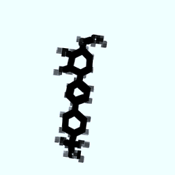 COC1CCC(c2ccc(C3CCC(C(C)(F)F)CC3)cc2)C(F)C1F